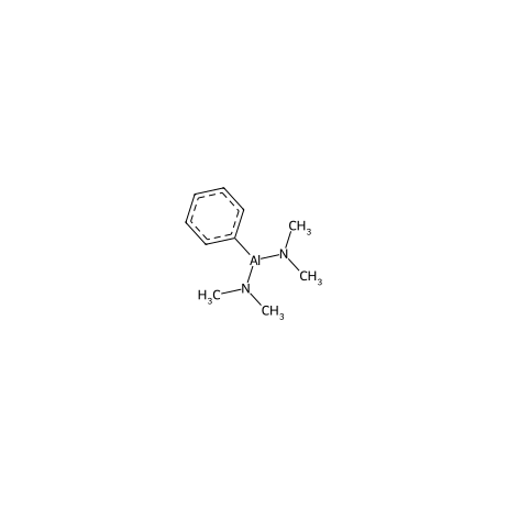 C[N](C)[Al]([c]1ccccc1)[N](C)C